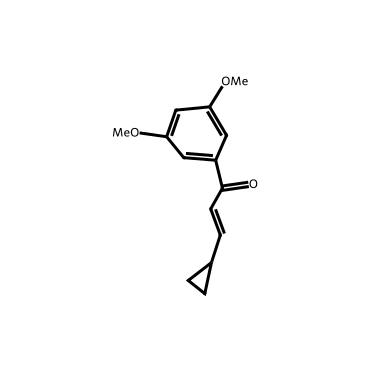 COc1cc(OC)cc(C(=O)C=CC2CC2)c1